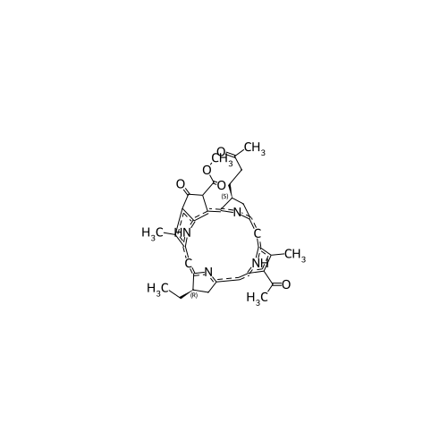 CC[C@@H]1Cc2cc3[nH]c(cc4nc(c5c6[nH]c(cc1n2)c(C)c6C(=O)C5C(=O)OC)[C@@H](CCC(C)=O)C4)c(C)c3C(C)=O